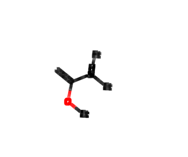 C=C(OCC)[SiH](CC)CC